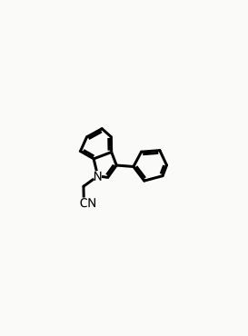 N#CCn1cc(-c2ccccc2)c2ccccc21